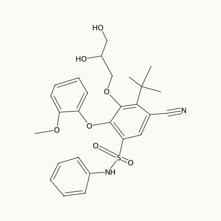 COc1ccccc1Oc1c(S(=O)(=O)Nc2ccccc2)cc(C#N)c(C(C)(C)C)c1OCC(O)CO